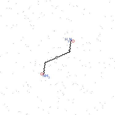 NC(=O)CCCCCCC/C=C\CCCCCCCCCCCCCCCCCC/C=C\CCCCCCCC(N)=O